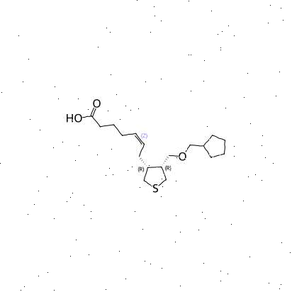 O=C(O)CCC/C=C\C[C@H]1CSC[C@H]1COCC1CCCC1